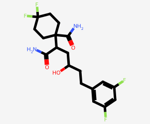 NC(=O)C(CC(O)[CH]Cc1cc(F)cc(F)c1)C1(C(N)=O)CCC(F)(F)CC1